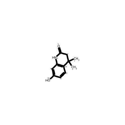 CC1(C)CC(=O)Nc2cc(O)ccc21